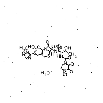 CCN1CCN(C(=O)N[C@@H](C(=O)N[C@]2(OC)C(=O)N3C(C(=O)O)=C(CSc4nnnn4C)CS[C@@H]32)[C@H](C)O)C(=O)C1=O.O